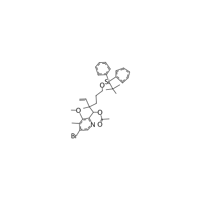 C=CC(C)(CCCO[Si](c1ccccc1)(c1ccccc1)C(C)(C)C)C(OC(C)=O)c1ncc(Br)c(C)c1OC